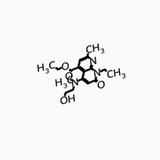 CCOC(=O)c1cc(C)nc2c1c(N(C)CCO)cc(=O)n2CC